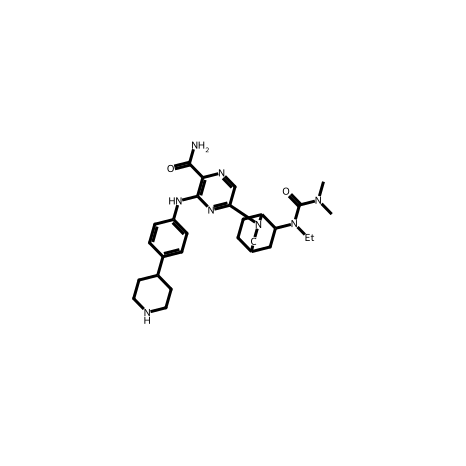 CCN(C(=O)N(C)C)C1CC2CCC1N(c1cnc(C(N)=O)c(Nc3ccc(C4CCNCC4)cc3)n1)C2